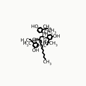 CCCCCCCCCCC(C[C](Pc1ccc(O)cc1C(C)(C)CC)Pc1ccc(O)cc1C(C)(C)CC)Pc1ccc(O)cc1C(C)(C)CC